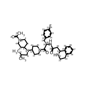 CC(=O)N1CCC(N(CC(C)C)C2CCN(C(=O)[C@@H](Cc3ccc(F)cc3)NC(=O)CC3NCCc4ccccc43)CC2)CC1